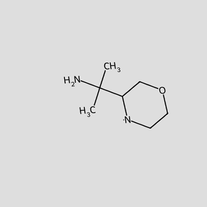 CC(C)(N)C1COCC[N]1